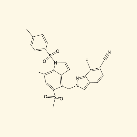 Cc1ccc(S(=O)(=O)n2ccc3c(Cn4cc5ccc(C#N)c(F)c5n4)c(S(C)(=O)=O)cc(C)c32)cc1